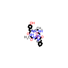 CC(C)NC(=O)CNC(=O)[C@H](Cc1ccccc1)N(C)C(=O)CNC(=O)[C@@H](C)NC(=O)[C@@H](N)Cc1ccc(O)cc1